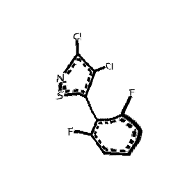 Fc1cccc(F)c1-c1snc(Cl)c1Cl